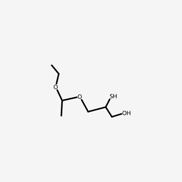 CCOC(C)OCC(S)CO